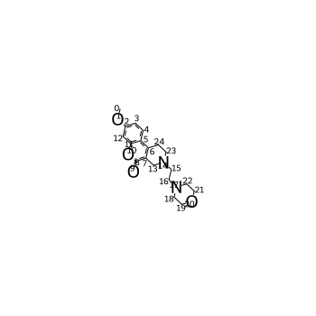 COc1ccc2c3c(c(=O)oc2c1)CN(CCN1CCOCC1)CC3